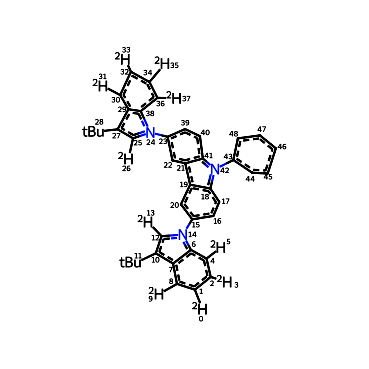 [2H]c1c([2H])c([2H])c2c(c1[2H])c(C(C)(C)C)c([2H])n2-c1ccc2c(c1)c1cc(-n3c([2H])c(C(C)(C)C)c4c([2H])c([2H])c([2H])c([2H])c43)ccc1n2-c1ccccc1